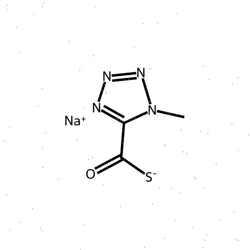 Cn1nnnc1C(=O)[S-].[Na+]